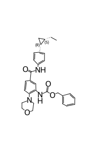 CC[C@H]1C[C@H]1c1ccc(NC(=O)c2ccc(N3CCOCC3)c(NC(=O)OCc3ccccc3)c2)cc1